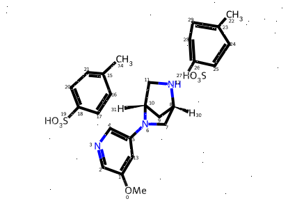 COc1cncc(N2C[C@@H]3C[C@H]2CN3)c1.Cc1ccc(S(=O)(=O)O)cc1.Cc1ccc(S(=O)(=O)O)cc1